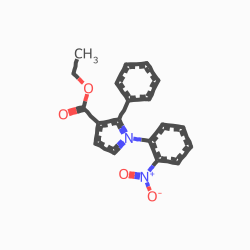 CCOC(=O)c1ccn(-c2ccccc2[N+](=O)[O-])c1-c1ccccc1